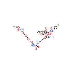 CC(=O)N[C@H]1[C@H]([C@H](O)[C@H](O)CNC(=O)Cc2ccc(Cl)cc2)O[C@@](OCCCCCCNc2c(NCCOCCOCCOCCOCCNC(=O)OC(C)(C)C)c(=O)c2=O)(C(=O)O)C[C@@H]1O